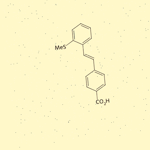 CSc1ccccc1/C=C/c1ccc(C(=O)O)cc1